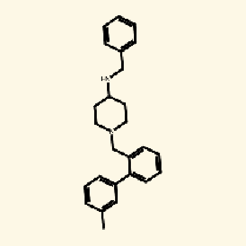 Cc1cccc(-c2ccccc2CN2CCC(NCc3ccccc3)CC2)c1